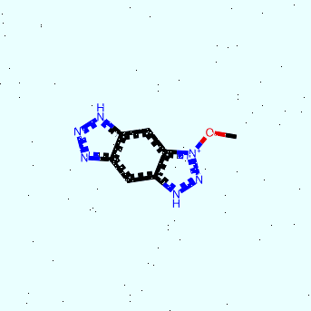 CO[n+]1n[nH]c2cc3nn[nH]c3cc21